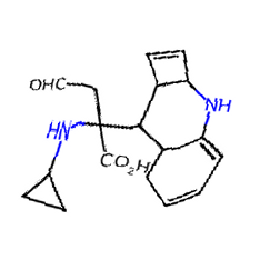 O=CCC(NC1CC1)(C(=O)O)C1C2CC=CC=C2NC2C=CC21